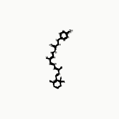 CC(C=CC1=C(C)CCCC1(C)C)=CC=CC(C)=CCOC(=O)CCc1ccc(O)cc1